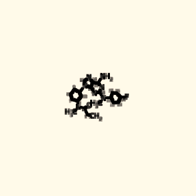 C=CC(=O)N(C)c1cccc(-n2cnc3c(N)nc(N(C)c4ccc(F)cc4)nc32)c1